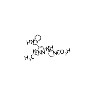 Cc1cn2nc(N[C@@H]3CCCN(C(=O)O)C3)cc(-c3c[nH]c4ccccc34)c2n1